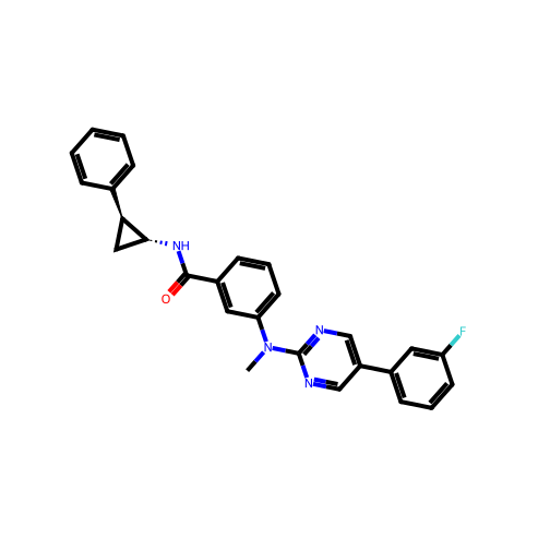 CN(c1cccc(C(=O)N[C@@H]2C[C@H]2c2ccccc2)c1)c1ncc(-c2cccc(F)c2)cn1